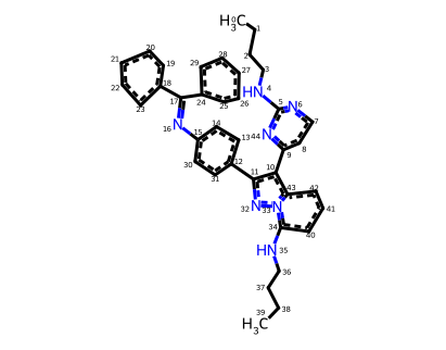 CCCCNc1nccc(-c2c(-c3ccc(N=C(c4ccccc4)c4ccccc4)cc3)nn3c(NCCCC)cccc23)n1